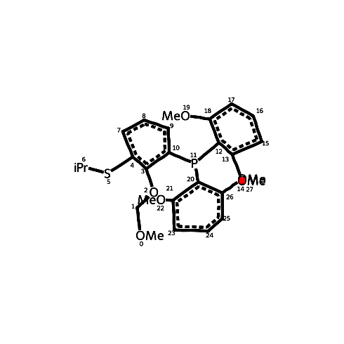 COCOc1c(SC(C)C)cccc1P(c1c(OC)cccc1OC)c1c(OC)cccc1OC